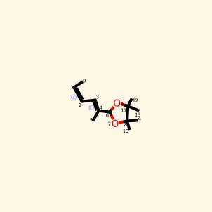 C/C=C\C=C(/C)C1OC(C)(C)C(C)(C)O1